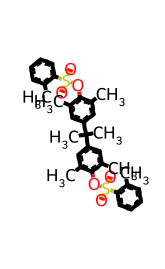 Cc1ccccc1S(=O)(=O)Oc1c(C)cc(C(C)(C)c2cc(C)c(OS(=O)(=O)c3ccccc3C)c(C)c2)cc1C